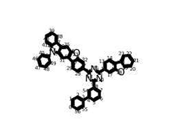 c1ccc(-c2cccc(-c3nc(-c4ccc5c(c4)oc4ccccc45)nc(-c4ccc5c(c4)oc4cc6c7ccccc7n(-c7ccccc7)c6cc45)n3)c2)cc1